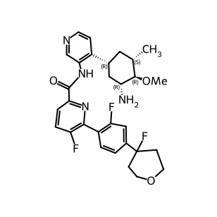 CO[C@H]1[C@H](N)C[C@H](c2ccncc2NC(=O)c2ccc(F)c(-c3ccc(C4(F)CCOCC4)cc3F)n2)C[C@@H]1C